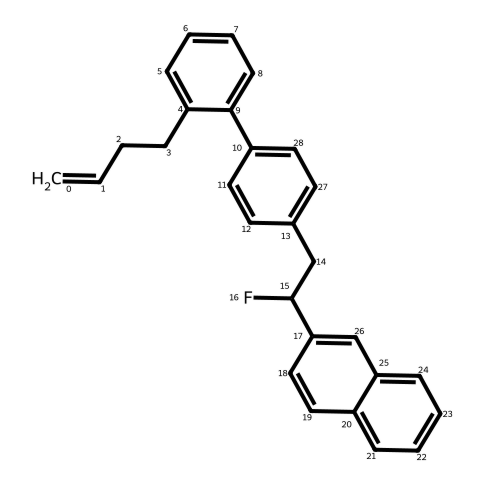 C=CCCc1ccccc1-c1ccc(CC(F)c2ccc3ccccc3c2)cc1